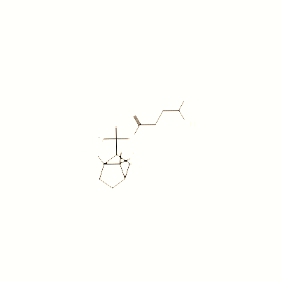 CC(C)CCC(=O)OC(C)(N)C1CC2CCC1(C)C2(C)C